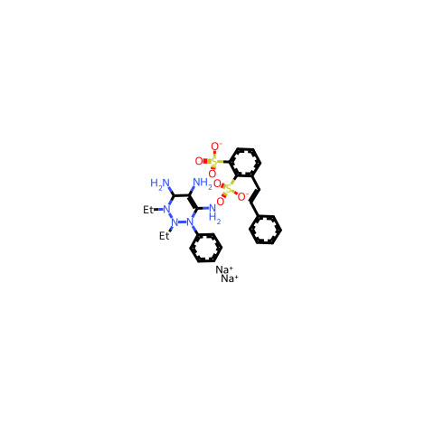 CCN1C(N)C(N)=C(N)N(c2ccccc2)N1CC.O=S(=O)([O-])c1cccc(C=Cc2ccccc2)c1S(=O)(=O)[O-].[Na+].[Na+]